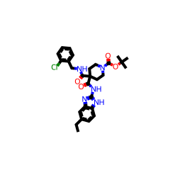 CCc1ccc2[nH]c(NC(=O)C3(C(=O)NCc4ccccc4Cl)CCN(C(=O)OC(C)(C)C)CC3)nc2c1